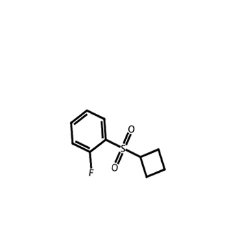 O=S(=O)(c1ccccc1F)C1CCC1